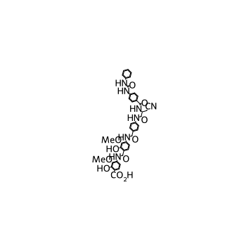 COc1c(NC(=O)c2ccc(NC(=O)c3ccc(NC(=O)C(CC#N)NC(=O)c4ccc(NC(=O)Nc5ccccc5)cc4)cc3)c(OC)c2O)ccc(C(=O)O)c1O